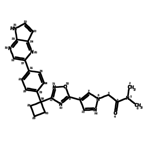 CN(C)C(=O)Cn1cc(-c2nc(C3(c4ccc(-c5cnc6[nH]ccc6n5)cc4)CCC3)no2)cn1